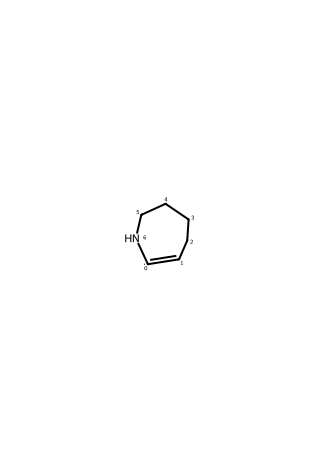 [C]1=CCCCCN1